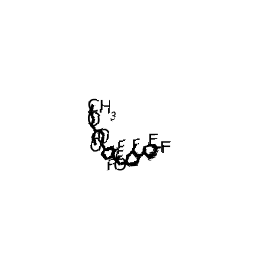 CCOCC1COC(c2ccc(C(F)(F)Oc3ccc(-c4ccc(F)c(F)c4)c(F)c3)c(F)c2)OC1